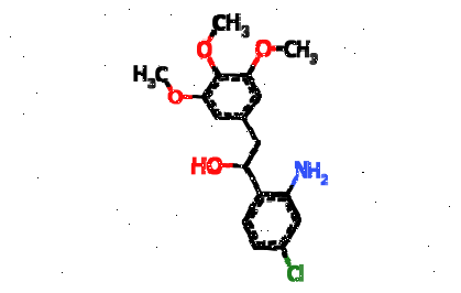 COc1cc(CC(O)c2ccc(Cl)cc2N)cc(OC)c1OC